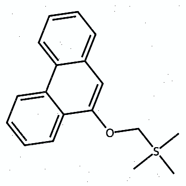 CS(C)(C)COc1cc2ccccc2c2ccccc12